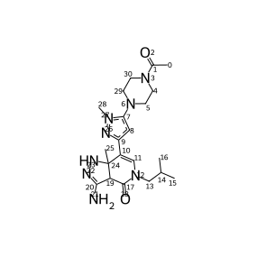 CC(=O)N1CCN(c2cc(C3=CN(CC(C)C)C(=O)C4C(N)=NNC34C)nn2C)CC1